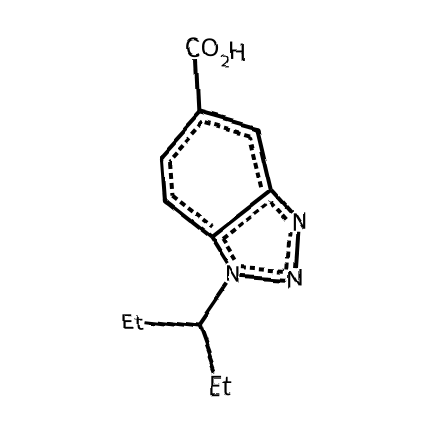 CCC(CC)n1nnc2cc(C(=O)O)ccc21